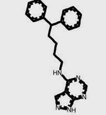 c1ccc(C(CCCCNc2ncnc3[nH]ncc23)c2ccccc2)cc1